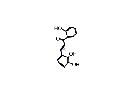 O=C(/C=C/c1cccc(O)c1O)c1ccccc1O